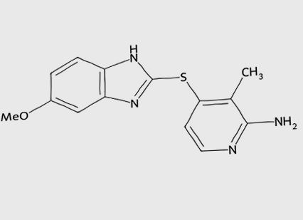 COc1ccc2[nH]c(Sc3ccnc(N)c3C)nc2c1